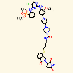 COc1cc(N2C=CC(N3CCN(C(=O)NCCCCSc4cccc5c4CN(C4CCC(=O)NC4=O)C5=O)CC3)=CC2)ccc1Nc1ncc(Cl)c(Nc2ccccc2P(=O)(OC)OC)n1